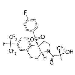 C[C@@](O)(C(=O)N1CC[C@@]2(S(=O)(=O)c3ccc(F)cc3)c3ccc(C(F)(C(F)(F)F)C(F)(F)F)cc3CC[C@@H]12)C(F)(F)F